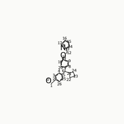 O=Cc1ccc(C(c2ccc(OCc3ccccn3)cc2)C2CCC2)cc1